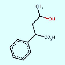 CC(O)CC(C(=O)O)c1ccccc1